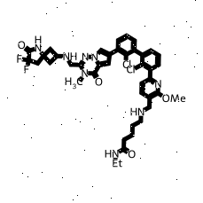 CCNC(=O)CCCCNCc1ccc(-c2cccc(-c3cccc(-c4cc5c(=O)n(C)c(CNC6CC7(C6)CC(F)(F)C(=O)N7)nn5c4)c3Cl)c2Cl)nc1OC